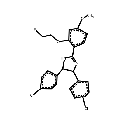 COc1ccc(C2=NC(c3ccc(Cl)cc3)C(c3ccc(Cl)cc3)N2)c(OCCF)c1